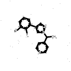 CC(c1ccncc1)n1cc(-c2cccc(Br)c2F)cn1